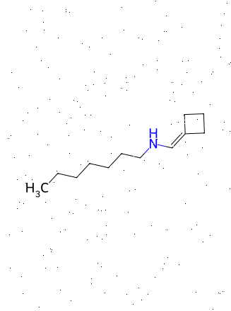 CCCCCCCNC=C1CCC1